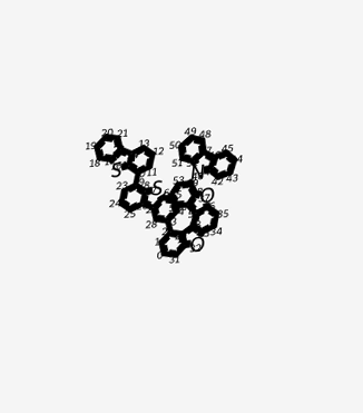 c1cc(-c2ccc3sc4c(-c5cccc6c5sc5ccccc56)cccc4c3c2)c2c(c1)oc1ccc3oc4c(-n5c6ccccc6c6ccccc65)cccc4c3c12